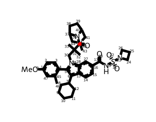 COc1ccc(-c2c(C3CCCCC3)c3ccc(C(=O)NS(=O)(=O)N4CCC4)cc3n2CC(C)(C)C(=O)N2C3CCC2CN(C)C3)c(C)c1